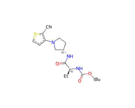 CC[C@H](NC(=O)OC(C)(C)C)C(=O)N[C@H]1CCN(c2ccsc2C#N)C1